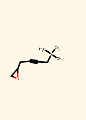 C[Si](C)(C)CC#CCC1CO1